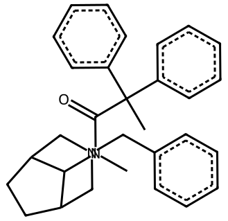 CN(C(=O)C(C)(c1ccccc1)c1ccccc1)C1C2CCC1CN(Cc1ccccc1)C2